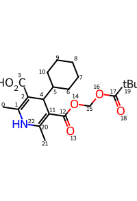 CC1=C(C(=O)O)C(C2CCCCC2)C(C(=O)OCOC(=O)C(C)(C)C)=C(C)N1